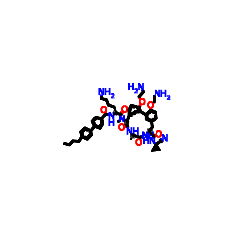 CCCCc1ccc(-c2ccc(C(=O)N[C@@H](CCCCN)C(=O)N(C)[C@@H]3C(=O)N[C@@H](C)C(=O)N[C@H](C(=O)NC4(C#N)CC4)Cc4ccc(OCCN)c(c4)-c4cc3ccc4OCCN)cc2)cc1